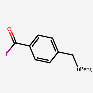 CCCCCCc1ccc(C(=O)I)cc1